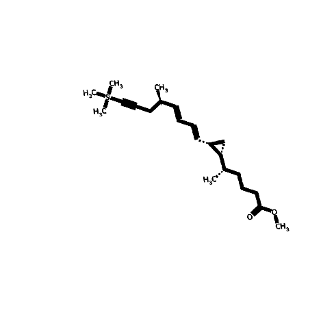 COC(=O)CCC[C@H](C)[C@H]1C[C@H]1/C=C/C=C/[C@H](C)CC#C[Si](C)(C)C